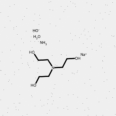 N.O.OCCN(CCO)CCO.[Na+].[OH-]